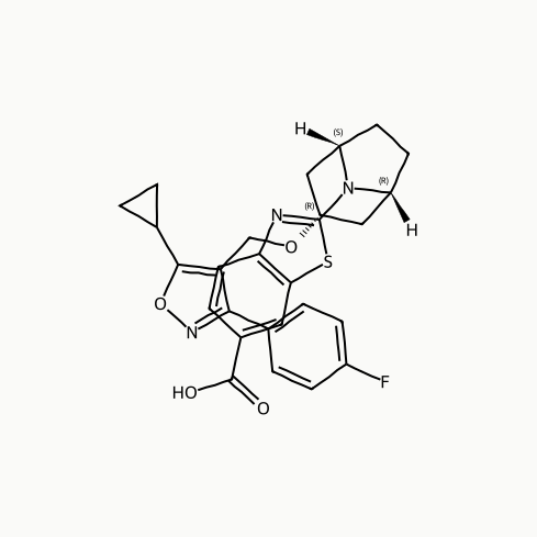 O=C(O)c1ccc2nc(N3[C@@H]4CC[C@H]3C[C@@H](OCc3c(-c5ccc(F)cc5)noc3C3CC3)C4)sc2c1